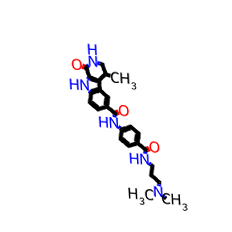 CC1CNC(=O)c2[nH]c3ccc(C(=O)Nc4ccc(C(=O)NCCCN(C)C)cc4)cc3c21